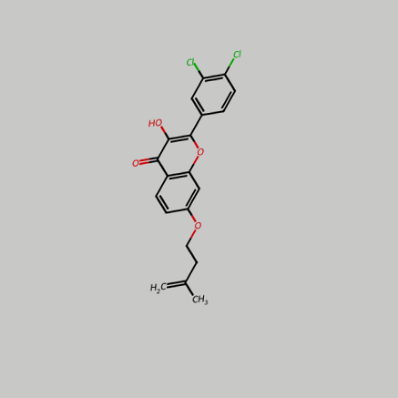 C=C(C)CCOc1ccc2c(=O)c(O)c(-c3ccc(Cl)c(Cl)c3)oc2c1